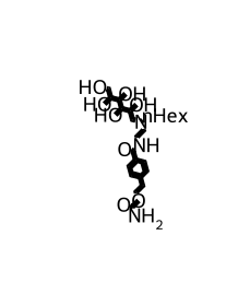 CCCCCCN(CCNC(=O)c1ccc(CCOC(N)=O)cc1)CC(O)C(O)C(O)C(O)CO